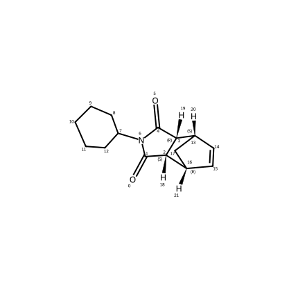 O=C1[C@@H]2[C@H](C(=O)N1C1CCCCC1)[C@@H]1C=C[C@H]2C1